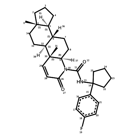 C[C@@]12CCC[C@H]1[C@@H]1CC[C@H]3N(C(=O)NC4(c5ccc(F)cc5)CCCC4)C(=O)C=C[C@]3(C)[C@H]1CC2